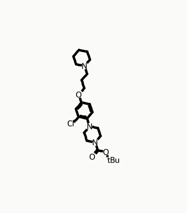 CC(C)(C)OC(=O)N1CCN(c2ccc(OCCCN3CCCCC3)cc2Cl)CC1